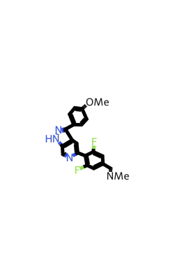 CNCc1cc(F)c(-c2cc3c(-c4ccc(OC)cc4)n[nH]c3cn2)c(F)c1